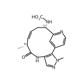 C[C@@H]1C=CC[C@H](NC(=O)O)c2cc(ccn2)-c2c(cnn2C)NC1=O